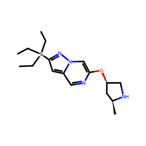 CC[Si](CC)(CC)c1cc2cnc(O[C@H]3CN[C@@H](C)C3)cn2n1